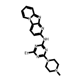 CCc1nc(Nc2ccc3c(n2)nc2ccccn23)nc(N2CCN(C)CC2)n1